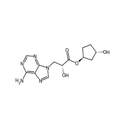 Nc1ncnc2c1ncn2C[C@@H](O)C(=O)O[C@H]1CC[C@H](O)C1